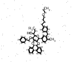 C=CCOCCCCc1ccc(Cc2cc([C@@H]3O[C@H](C(O)CC)[C@@H](OCc4ccccc4)[C@H](OCc4ccccc4)[C@H]3OCc3ccccc3)ccc2C)cc1